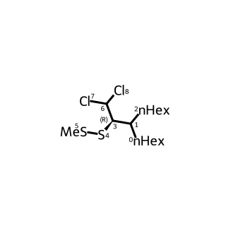 CCCCCCC(CCCCCC)[C@@H](SSC)C(Cl)Cl